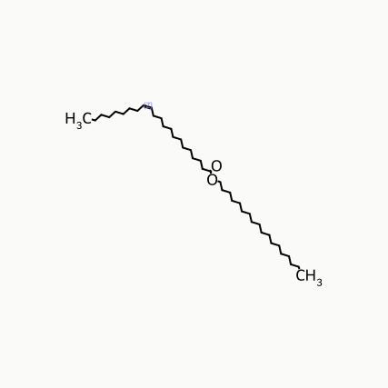 CCCCCCCC/C=C\CCCCCCCCCCCC(=O)OCCCCCCCCCCCCCCCCCC